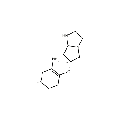 NC1=C(O[C@@H]2CC3NCCN3C2)CCNC1